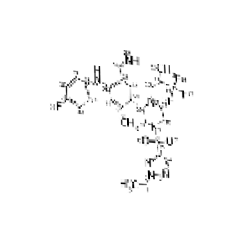 CCn1ncc(S(=O)(=O)N2CCN(CC(C)C(F)(F)F)[C@@H](c3cc(C=N)c(Nc4ccc(F)cc4)cc3C)C2)n1